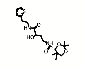 CC1(C)OCC(C)(C)[C@H](C(=O)NCCC(O)C(=O)NCCc2cccs2)O1